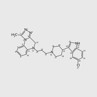 Cc1nnc2n1-c1ccccc1N(CCCN1CCC(c3c[nH]c4ccc(Cl)cc34)CC1)C2